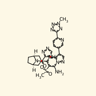 Cn1nnc(-c2ccc(-c3cnn4c(N)c(S(C)(=O)=O)c([C@H]5C[C@H]6CC[C@@H](C5)N6C(=O)c5nnc[nH]5)nc34)cn2)n1